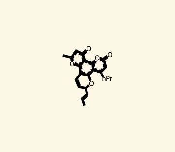 CC=CC1C=Cc2c(c3c(CCC)[c]c(=O)oc3c3c(=O)cc(C)oc23)O1